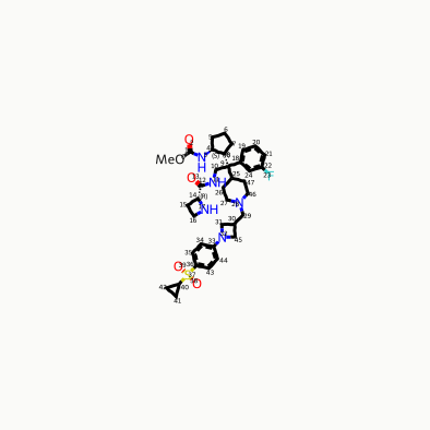 COC(=O)N[C@H]1CCC[C@@H]1C(CNC(=O)[C@H]1CCN1)(c1cccc(F)c1)C1CCN(CC2CN(c3ccc(S(=O)(=O)C4CC4)cc3)C2)CC1